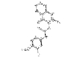 O=C(Cn1c(=O)oc2ccccc2c1=O)Nc1ccc(C(=O)O)c(O)c1